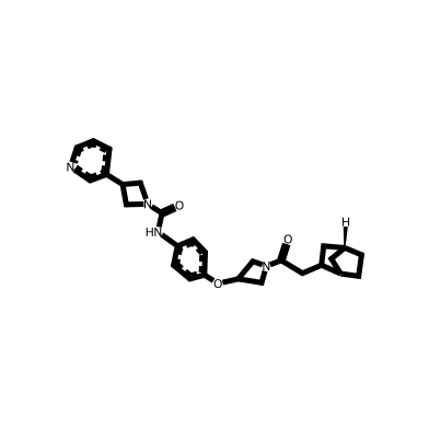 O=C(CC1C[C@@H]2CCC1C2)N1CC(Oc2ccc(NC(=O)N3CC(c4cccnc4)C3)cc2)C1